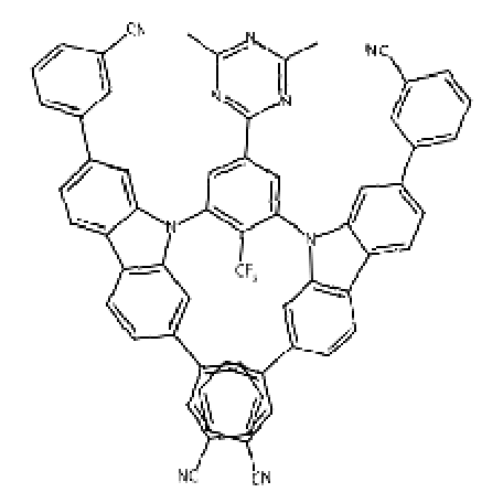 Cc1nc(C)nc(-c2cc(-n3c4cc(-c5cccc(C#N)c5)ccc4c4ccc(-c5cccc(C#N)c5)cc43)c(C(F)(F)F)c(-n3c4cc(-c5cccc(C#N)c5)ccc4c4ccc(-c5cccc(C#N)c5)cc43)c2)n1